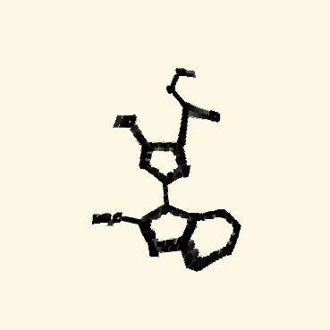 CCOC(=O)c1nc2ccccn2c1-c1cc(O)c(C(=O)OC(C)(C)C)s1